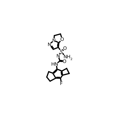 NS(=O)(=NC(=O)Nc1c2c(c(F)c3c1CC3)CCC2)c1cnn2c1OCC2